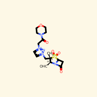 C[C@]1(Cn2cc[n+](CC(=O)N3CCOCC3)n2)[C@H](C=O)N2C(=O)CC2S1(=O)=O